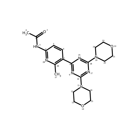 CC(=O)Nc1ccc(-c2nc(N3CCOCC3)nc(N3CCOCC3)n2)c(C)n1